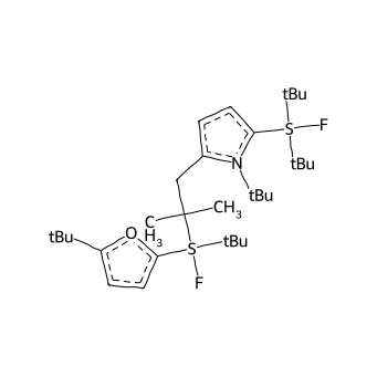 CC(C)(C)c1ccc(S(F)(C(C)(C)C)C(C)(C)Cc2ccc(S(F)(C(C)(C)C)C(C)(C)C)n2C(C)(C)C)o1